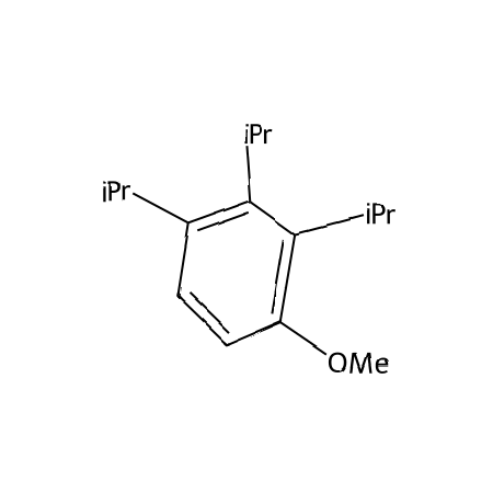 COc1ccc(C(C)C)c(C(C)C)c1C(C)C